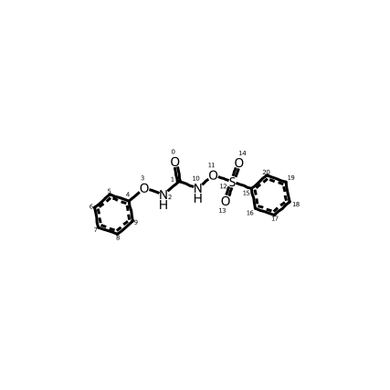 O=C(NOc1ccccc1)NOS(=O)(=O)c1ccccc1